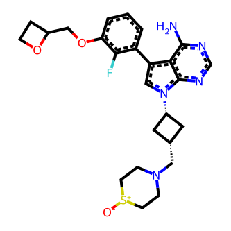 Nc1ncnc2c1c(-c1cccc(OCC3CCO3)c1F)cn2[C@H]1C[C@@H](CN2CC[S+]([O-])CC2)C1